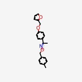 C/C(=N\OCc1ccc(C)cc1)c1ccc(OCc2ccco2)cc1